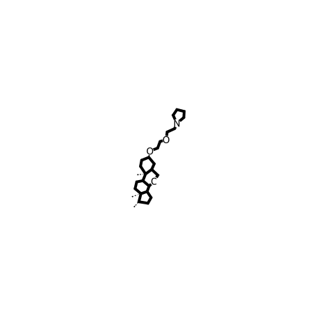 C[C@H]1CCC2C3CCC4C[C@@H](OCCOCCN5CCCC5)CC[C@]4(C)C3CC[C@@]21C